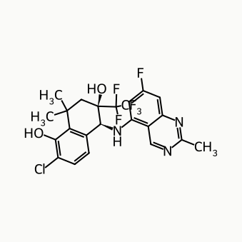 Cc1ncc2c(N[C@H]3c4ccc(Cl)c(O)c4C(C)(C)C[C@]3(O)C(F)(F)C(F)(F)F)cc(F)cc2n1